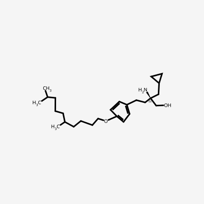 CC(C)CCCC(C)CCCCOc1ccc(CC[C@@](N)(CO)CC2CC2)cc1